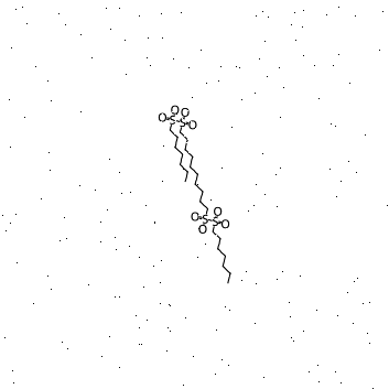 CCCCCCCS(=O)(=O)S(=O)(=O)CCCCCCCCCCS(=O)(=O)S(=O)(=O)CCCCCCC